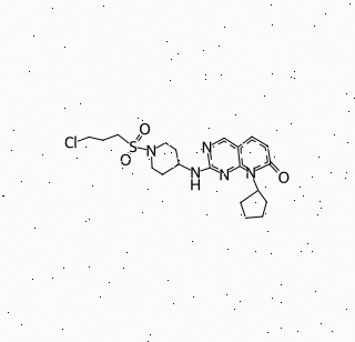 O=c1ccc2cnc(NC3CCN(S(=O)(=O)CCCCl)CC3)nc2n1C1CCCC1